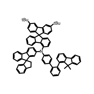 CC(C)(C)c1ccc2c(c1)-c1cc(C(C)(C)C)ccc1C21c2ccccc2-c2c(N(c3ccc(-c4ccccc4-c4cccc5c4C(C)(C)c4ccccc4-5)cc3)c3ccc4c(c3)C3(CCc5ccccc53)c3ccccc3-4)cccc21